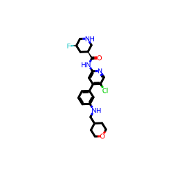 O=C(Nc1cc(-c2cccc(NCC3CCOCC3)c2)c(Cl)cn1)[C@@H]1CNC[C@H](F)C1